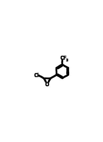 FC(F)(F)c1cccc(C2OC2Cl)c1